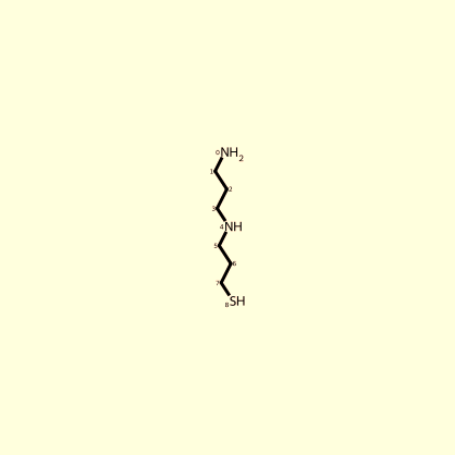 NCCCNCCCS